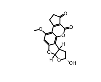 COc1cc2c(c3oc(=O)c4c(c13)CCC4=O)[C@@H]1C[C@H](O)O[C@@H]1O2